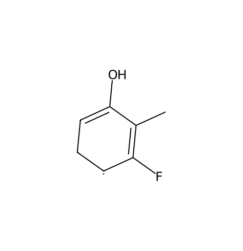 CC1=C(F)[CH]CC=C1O